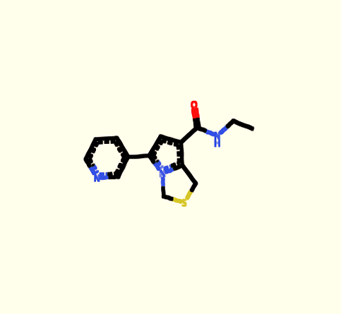 CCNC(=O)c1cc(-c2cccnc2)n2c1CSC2